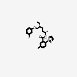 CC[C@@H](CC[C@@H](C)NC(=O)c1cc(C)ccc1-n1nccn1)COc1cccc(F)c1